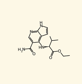 CCOC(=O)[C@@H](Nc1c(C(N)=O)cnc2[nH]ccc12)C(C)C